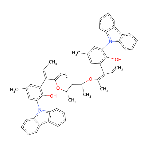 C=C/C(=C(\C)O[C@H](C)C[C@H](C)OC(=C)/C(=C\C)c1cc(C)cc(-n2c3ccccc3c3ccccc32)c1O)c1cc(C)cc(-n2c3ccccc3c3ccccc32)c1O